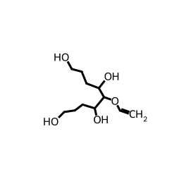 C=COC(C(O)CCCO)C(O)CCCO